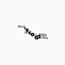 COCCn1cc(NC(=O)Cc2ccc(Oc3ccnc4cc(OC)c(OC)cc34)cc2)cn1